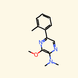 COc1nc(-c2ccccc2C)cnc1N(C)C